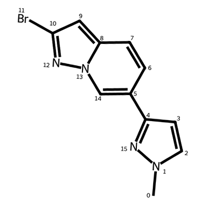 Cn1ccc(-c2ccc3cc(Br)nn3c2)n1